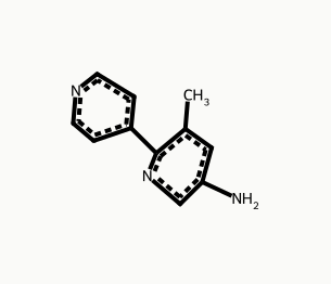 Cc1cc(N)cnc1-c1ccncc1